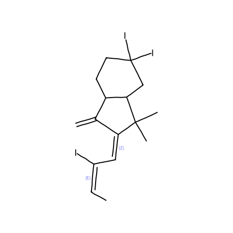 C=C1/C(=C\C(I)=C/C)C(C)(C)C2CC(I)(I)CCC12